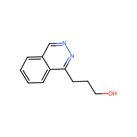 OCCCc1nncc2ccccc12